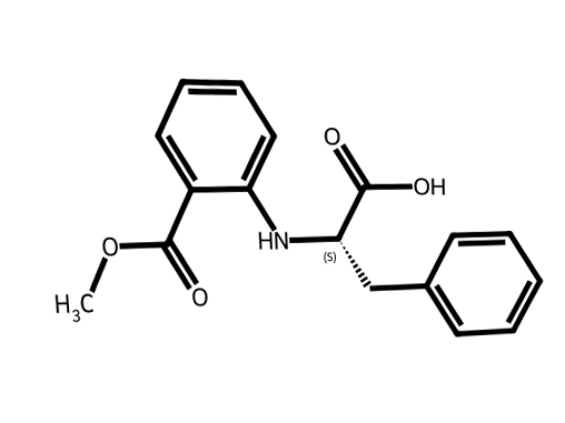 COC(=O)c1ccccc1N[C@@H](Cc1ccccc1)C(=O)O